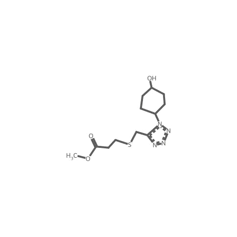 COC(=O)CCSCc1nnnn1C1CCC(O)CC1